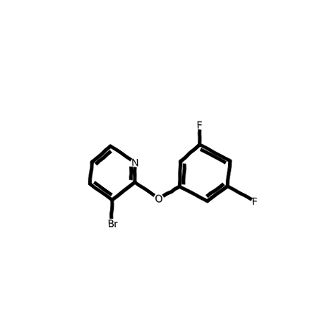 Fc1cc(F)cc(Oc2ncccc2Br)c1